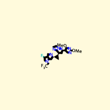 COc1ncc(-c2cc([C@H]3C[C@@H]3c3cc4c(cn3)c(F)cn4CC(F)(F)F)c3nccn3n2)c(OC)n1